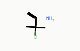 C=CC(C)(C)Cl.N